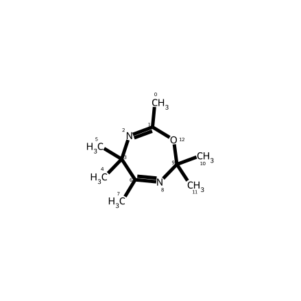 CC1=NC(C)(C)C(C)=NC(C)(C)O1